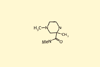 CNC(=O)C1(C)CN(C)CC[N]1